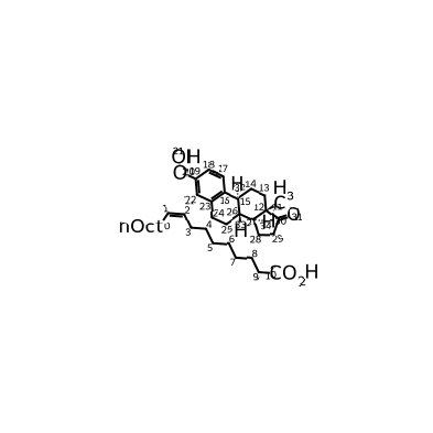 CCCCCCCC/C=C\CCCCCCCC(=O)O.C[C@]12CC[C@@H]3c4ccc(OO)cc4CC[C@H]3[C@@H]1CCC2=O